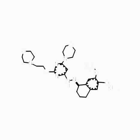 COc1cc2c(cc1OC)/C(=N/Nc1cc(N3CCOCC3)nc(OCCN3CCOCC3)n1)CCC2